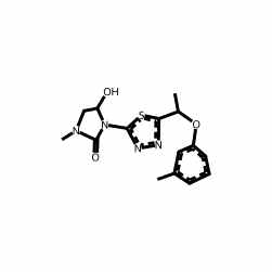 Cc1cccc(OC(C)c2nnc(N3C(=O)N(C)CC3O)s2)c1